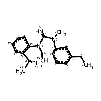 CCc1cccc(N(C)C(=N)N(CC)c2ccccc2C(C)C)c1